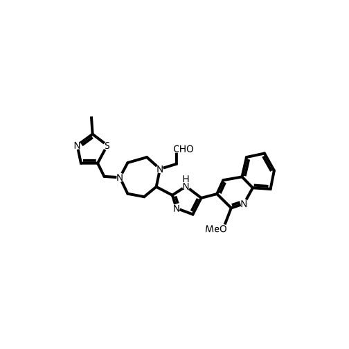 COc1nc2ccccc2cc1-c1cnc(C2CCN(Cc3cnc(C)s3)CCN2CC=O)[nH]1